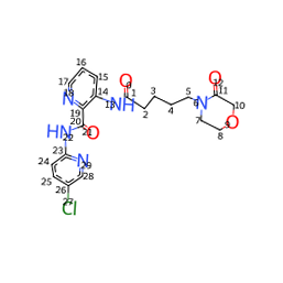 O=C(CCCCN1CCOCC1=O)Nc1cccnc1C(=O)Nc1ccc(Cl)cn1